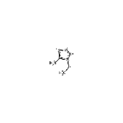 CCc1ncsc1N